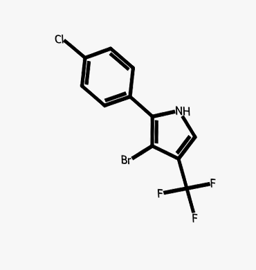 FC(F)(F)c1c[nH]c(-c2ccc(Cl)cc2)c1Br